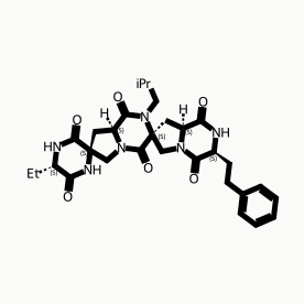 CC[C@@H]1NC(=O)[C@@]2(C[C@H]3C(=O)N(CC(C)C)[C@]4(C[C@H]5C(=O)N[C@@H](CCc6ccccc6)C(=O)N5C4)C(=O)N3C2)NC1=O